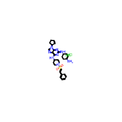 Cl.Cl.N[C@H]1CC[C@H](Nc2nc(NC3CCN(S(=O)(=O)/C=C/c4ccccc4)CC3)c3ncn(C4CCCC4)c3n2)CC1